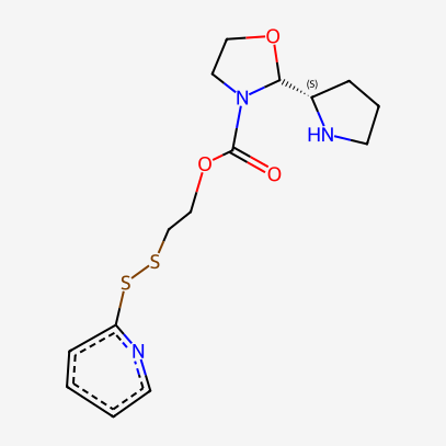 O=C(OCCSSc1ccccn1)N1CCOC1[C@@H]1CCCN1